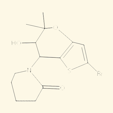 CC1(C)Oc2cc(Br)sc2C(N2CCCCC2=O)C1O